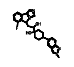 Cn1cc2cc(C3CCC(O)(C(O)CC4c5c(F)cccc5-c5cncn54)CC3)ccc2n1